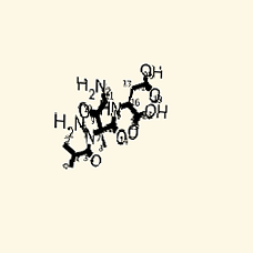 CC(C)C(=O)N(N)[C@](C)(C(=O)CN)C(=O)N[C@@H](CC(=O)O)C(=O)O